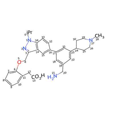 CC(C)n1nc(COc2ccccc2CC(=O)O)c2cc(-c3cc(CN)cc(C4CCN(C)CC4)c3)ccc21